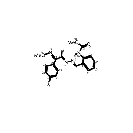 CO/N=C(/C(C)=N/N=C/c1ccccc1N(C)C(=O)OC)c1ccc(F)cc1